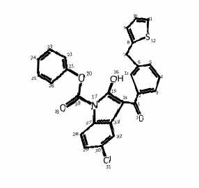 O=C(c1cccc(Cc2cccs2)c1)c1c(O)n(C(=O)Oc2ccccc2)c2ccc(Cl)cc12